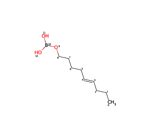 CCCC=CCCCCOB(O)O